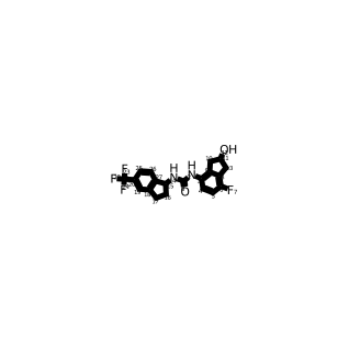 O=C(Nc1ccc(F)c2c1CC(O)C2)NC1CCc2cc(C(F)(F)F)ccc21